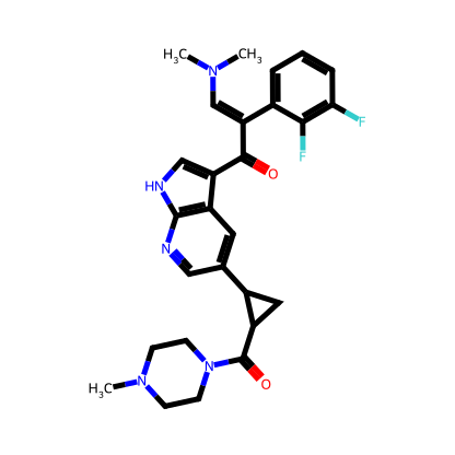 CN(C)C=C(C(=O)c1c[nH]c2ncc(C3CC3C(=O)N3CCN(C)CC3)cc12)c1cccc(F)c1F